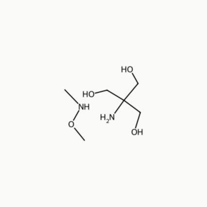 CNOC.NC(CO)(CO)CO